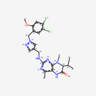 COc1cc(F)c(F)cc1Cn1cc(CNc2nc(C)c3c(n2)N(C)C(C(C)C)C(=O)N3)cn1